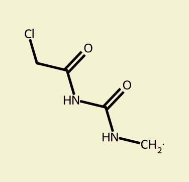 [CH2]NC(=O)NC(=O)CCl